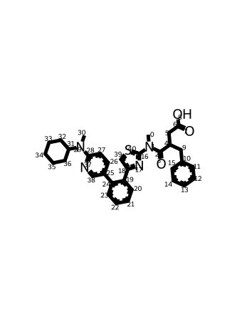 CN(C(=O)C(CC(=O)O)Cc1ccccc1)c1nc(-c2ccccc2-c2ccc(N(C)C3CCCCC3)nc2)cs1